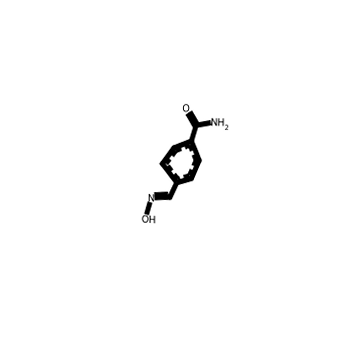 NC(=O)c1ccc(/C=N/O)cc1